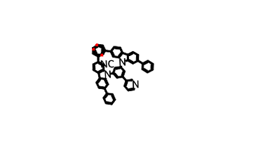 N#Cc1c(-n2c3cc(-c4ccccc4)ccc3c3ccc(-c4ccccc4)cc32)cc(-c2cccnc2)cc1-n1c2cc(-c3ccccc3)ccc2c2ccc(-c3ccccc3)cc21